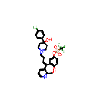 O=S(=O)(Oc1ccc2c(c1)C(=CCCN1CCC(O)(c3ccc(Cl)cc3)CC1)c1cccnc1CO2)C(F)(F)F